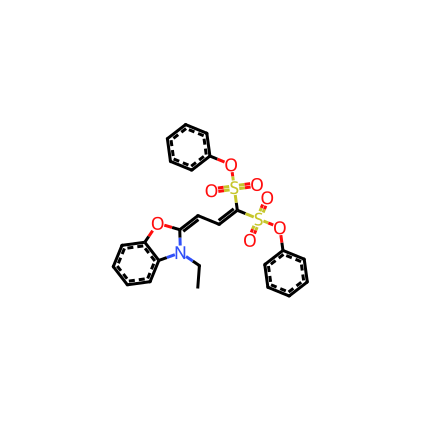 CCN1C(=CC=C(S(=O)(=O)Oc2ccccc2)S(=O)(=O)Oc2ccccc2)Oc2ccccc21